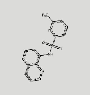 O=S(=O)(Nc1cccc2cccnc12)c1cccc(C(F)(F)F)n1